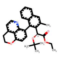 CCOC(=O)[C@@H](OC(C)(C)C)c1c(C)cc2ccccc2c1-c1ccc2c3c(ccnc13)CCO2